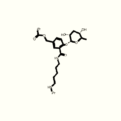 CC(C)NCCCCCNC(=O)c1cc(COC(=O)C(C)C)ccc1O[C@H]1OC(C)[C@@H](O)C[C@H]1O